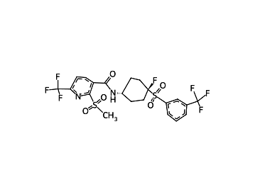 CS(=O)(=O)c1nc(C(F)(F)F)ccc1C(=O)N[C@H]1CC[C@@](F)(S(=O)(=O)c2cccc(C(F)(F)F)c2)CC1